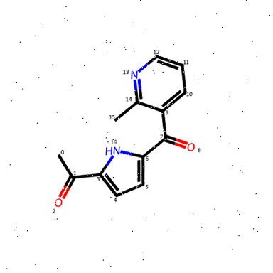 CC(=O)c1ccc(C(=O)c2cccnc2C)[nH]1